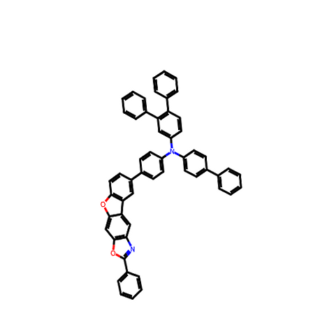 c1ccc(-c2ccc(N(c3ccc(-c4ccc5oc6cc7oc(-c8ccccc8)nc7cc6c5c4)cc3)c3ccc(-c4ccccc4)c(-c4ccccc4)c3)cc2)cc1